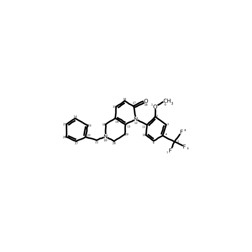 COc1cc(C(F)(F)F)ccc1-n1c2c(ccc1=O)CN(Cc1ccccc1)CC2